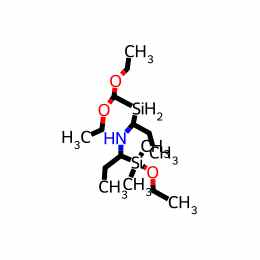 CCOC(OCC)[SiH2]C(CC)NC(CC)[Si](C)(C)OCC